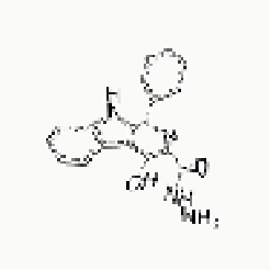 NNC(=O)c1nc(-c2ccccc2)c2[nH]c3ccccc3c2c1O